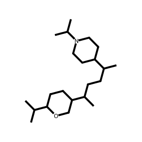 CC(C)C1CCC(C(C)CCC(C)C2CCN(C(C)C)CC2)CO1